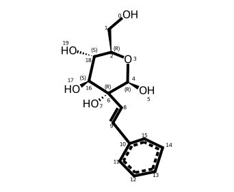 OC[C@H]1O[C@@H](O)[C@@](O)(C=Cc2ccccc2)[C@@H](O)[C@@H]1O